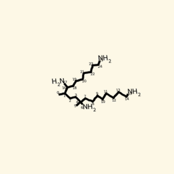 CC(CCC(C)(N)CCCCCCCCN)C(N)CCCCCCCN